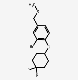 CSCc1ccc(OC2CCC(F)(F)CC2)c(Br)c1